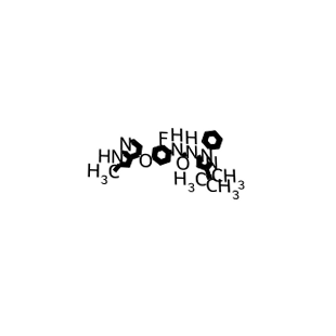 Cc1cc2c(Oc3ccc(NC(=O)Nc4cc(C(C)(C)C)nn4-c4ccccc4)c(F)c3)ccnc2[nH]1